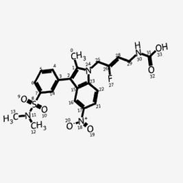 Cc1c(-c2cccc(S(=O)(=O)N(C)C)c2)c2cc([N+](=O)[O-])ccc2n1C/C(F)=C/CNC(=O)O